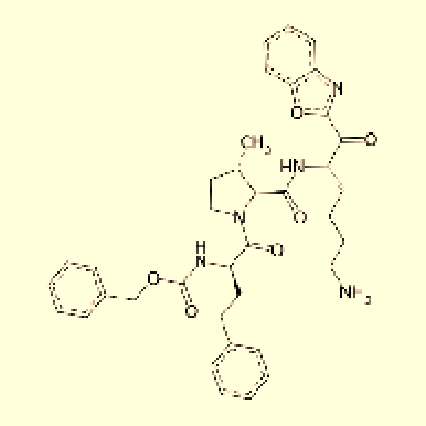 C[C@H]1CCN(C(=O)[C@@H](CCc2ccccc2)NC(=O)OCc2ccccc2)[C@@H]1C(=O)N[C@@H](CCCCN)C(=O)c1nc2ccccc2o1